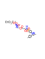 CCOC(=O)OC(C)O/N=[N+](\[O-])N(C)CCOC(=O)CCC(=O)NS(=O)(=O)c1ccc(-n2nc(C)cc2-c2ccc(C)cc2)cc1